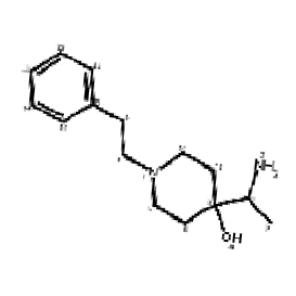 CC(N)C1(O)CCN(CCc2ccccc2)CC1